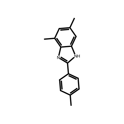 Cc1ccc(-c2nc3c(C)cc(C)cc3[nH]2)cc1